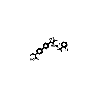 CCC(C(=O)O)c1ccc(-c2ccc(-c3onc(C)c3NC(=O)OC(C)c3ccccc3Cl)cc2)cc1